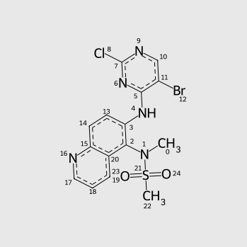 CN(c1c(Nc2nc(Cl)ncc2Br)ccc2ncccc12)S(C)(=O)=O